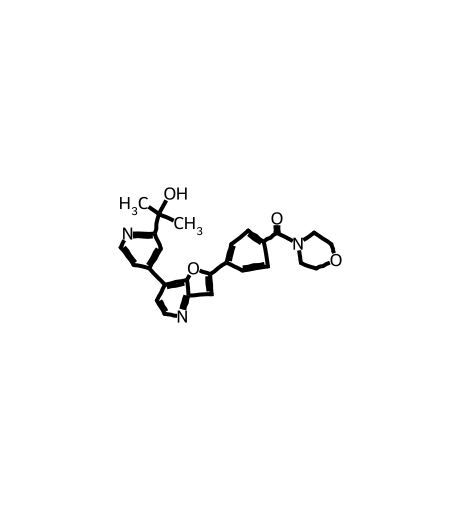 CC(C)(O)c1cc(-c2ccnc3cc(-c4ccc(C(=O)N5CCOCC5)cc4)oc23)ccn1